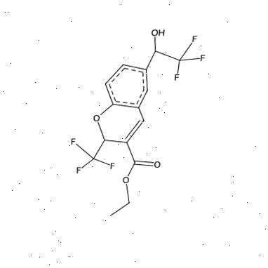 CCOC(=O)C1=Cc2cc(C(O)C(F)(F)F)ccc2OC1C(F)(F)F